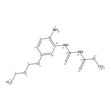 CCOCOc1ccc(N)c(NC(=S)NC(=O)OC)c1